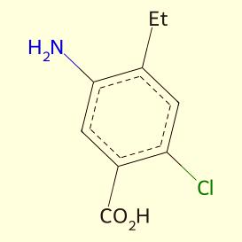 CCc1cc(Cl)c(C(=O)O)cc1N